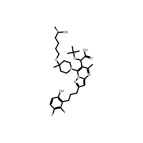 Cc1nc2cc(CCCc3c(O)ccc(F)c3F)nn2c(N2CCC(C)(OCCCC[C@@H](C)O)CC2)c1C(OC(C)(C)C)C(=O)O